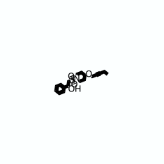 CCC#CCOC1CCN(S(=O)(=O)CC(O)c2ccccc2)CC1